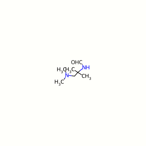 CN(C)CC(C)(C)NC=O